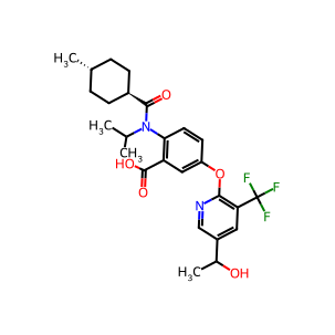 CC(O)c1cnc(Oc2ccc(N(C(=O)[C@H]3CC[C@H](C)CC3)C(C)C)c(C(=O)O)c2)c(C(F)(F)F)c1